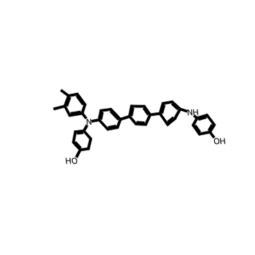 Cc1ccc(N(C2=CC=C(O)CC2)c2ccc(-c3ccc(-c4ccc(Nc5ccc(O)cc5)cc4)cc3)cc2)cc1C